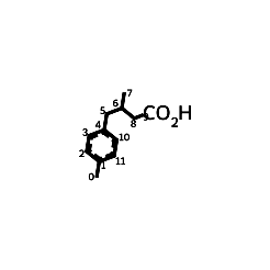 Cc1ccc(CC(C)CC(=O)O)cc1